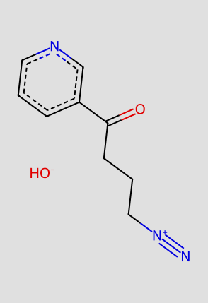 N#[N+]CCCC(=O)c1cccnc1.[OH-]